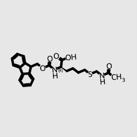 CC(=O)NCSCCCC[C@@H](NC(=O)OCC1c2ccccc2-c2ccccc21)C(=O)O